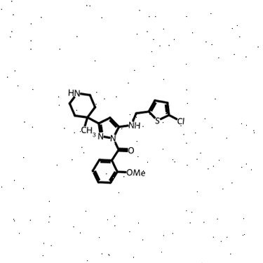 COc1ccccc1C(=O)n1nc(C2(C)CCNCC2)cc1NCc1ccc(Cl)s1